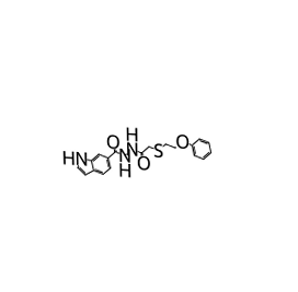 O=C(CSCCOc1ccccc1)NNC(=O)c1ccc2cc[nH]c2c1